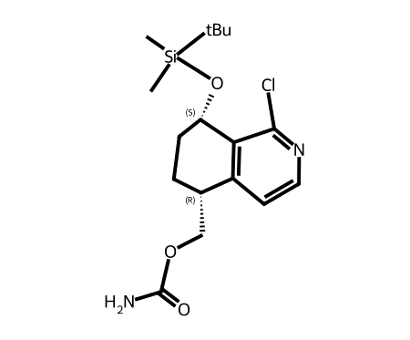 CC(C)(C)[Si](C)(C)O[C@H]1CC[C@@H](COC(N)=O)c2ccnc(Cl)c21